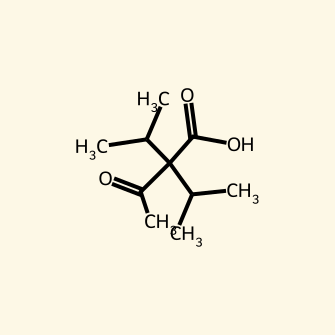 CC(=O)C(C(=O)O)(C(C)C)C(C)C